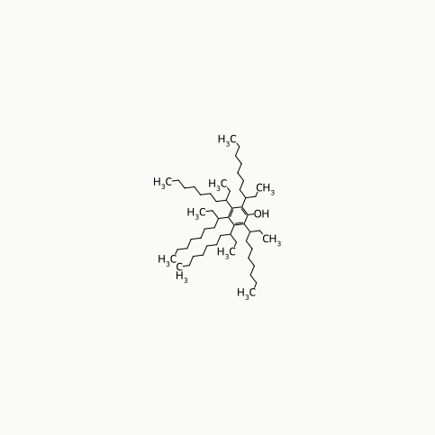 CCCCCCCC(CC)c1c(O)c(C(CC)CCCCCCC)c(C(CC)CCCCCCC)c(C(CC)CCCCCCC)c1C(CC)CCCCCCC